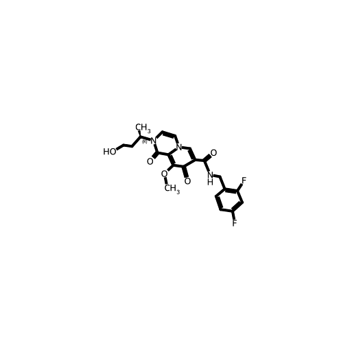 COc1c(=O)c(C(=O)NCc2ccc(F)cc2F)cn2ccn([C@H](C)CCO)c(=O)c12